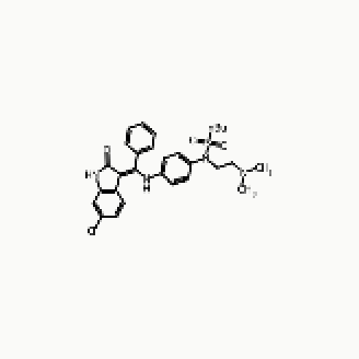 CCCCS(=O)(=O)N(CCN(C)C)c1ccc(NC(=C2C(=O)Nc3cc(Cl)ccc32)c2ccccc2)cc1